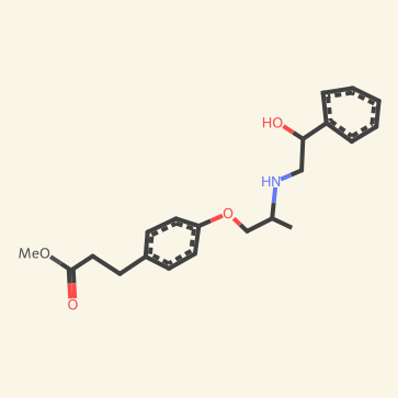 COC(=O)CCc1ccc(OCC(C)NCC(O)c2ccccc2)cc1